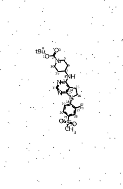 CC(C)(C)OC(=O)N1CCC(Nc2ncnc3c2CCN3c2ccc(S(C)(=O)=O)cc2F)CC1